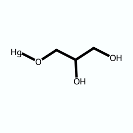 OCC(O)C[O][Hg]